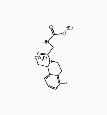 CCOC(=O)CC1c2cccc(I)c2CCN1C(=O)CNC(=O)OC(C)(C)C